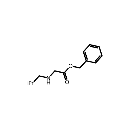 CC(C)CNCC(=O)OCc1ccccc1